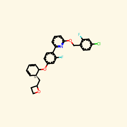 Fc1cc(Cl)ccc1COc1cccc(-c2ccc(OC3C=CC=C[C@@H]3CC3CCO3)cc2F)n1